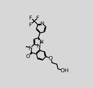 Cn1c(=O)c2ccc(OCCCO)cc2n2nc(-c3ccnc(C(F)(F)F)c3)cc12